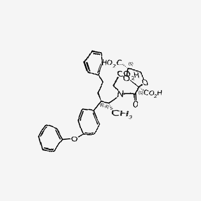 C[C@H]([C@H](CCc1ccccc1)c1ccc(Oc2ccccc2)cc1)N(CC(=O)O)C(=O)[C@]1(C(=O)O)OC[C@@H](C(=O)O)O1